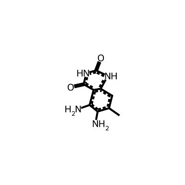 Cc1cc2[nH]c(=O)[nH]c(=O)c2c(N)c1N